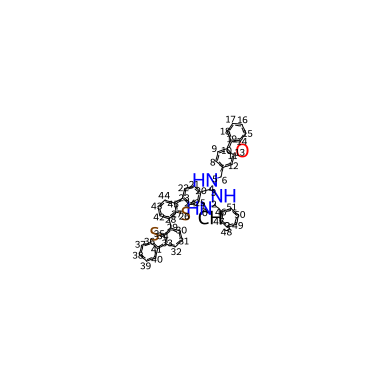 CNC(NC(NCc1ccc2c(c1)oc1ccccc12)c1ccc2c(c1)sc1c(-c3cccc4c3sc3ccccc34)cccc12)c1ccccc1